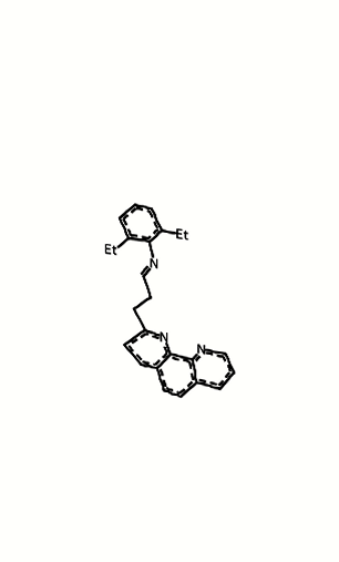 CCc1cccc(CC)c1N=CCCc1ccc2ccc3cccnc3c2n1